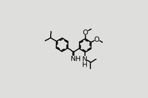 COc1cc(NC(C)C)c(C(=N)c2ccc(C(C)C)cc2)cc1OC